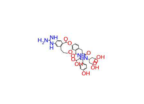 N=C(N)Nc1ccc2c(c1)CCCOc1c(ccc(CCC(=O)NC(CC(=O)O)CC(=O)O)c1C(=O)NC(Cc1ccc(O)cc1)C(=O)O)OC2=O